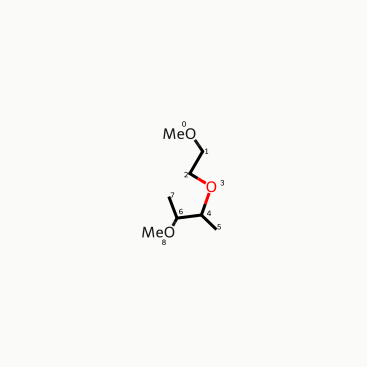 COCCOC(C)C(C)OC